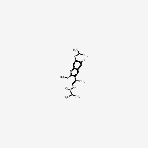 COc1nc2cc(OC(C)C)c(Cl)cc2cc1/C(C)=C/N[S@+]([O-])C(C)C